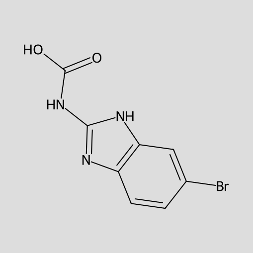 O=C(O)Nc1nc2ccc(Br)cc2[nH]1